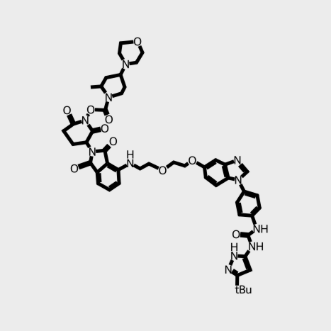 CC1CC(N2CCOCC2)CCN1C(=O)ON1C(=O)CCC(N2C(=O)c3cccc(NCCOCCOc4ccc5c(c4)ncn5-c4ccc(NC(=O)Nc5cc(C(C)(C)C)n[nH]5)cc4)c3C2=O)C1=O